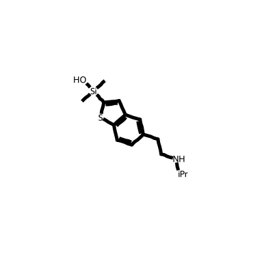 CC(C)NCCc1ccc2sc([Si](C)(C)O)cc2c1